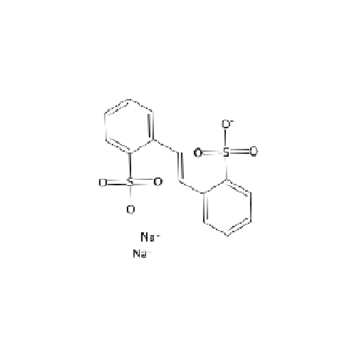 O=S(=O)([O-])c1ccccc1/C=C/c1ccccc1S(=O)(=O)[O-].[Na+].[Na+]